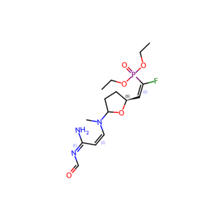 CCOP(=O)(OCC)/C(F)=C\[C@@H]1CCC(N(C)/C=C\C(N)=N/C=O)O1